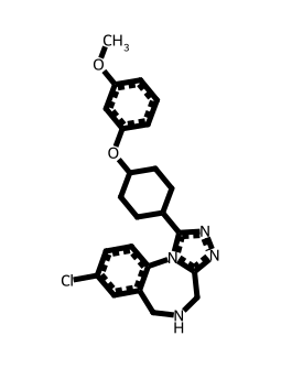 COc1cccc(OC2CCC(c3nnc4n3-c3ccc(Cl)cc3CNC4)CC2)c1